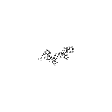 C/C=C\C=C/c1cc2ccc(-n3c4ccccc4c4cc(C5=CCC6C(=C5)c5ccccc5N6C5C=C(c6ccccc6)C=CC5)ccc43)cc2c2ccccc12